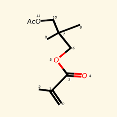 C=C(C)C(=O)OCC(C)(C)COC(C)=O